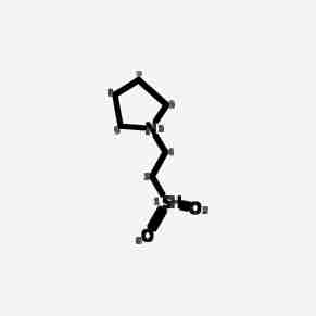 O=[SH](=O)CCN1CCCC1